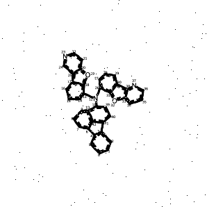 c1ccc2c(c1)-c1cccc3c(N(c4cccc5c4oc4ccncc45)c4cccc5c4oc4cccnc45)ccc-2c13